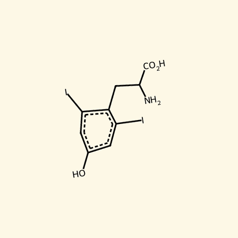 NC(Cc1c(I)cc(O)cc1I)C(=O)O